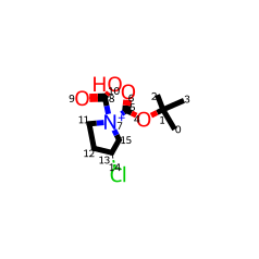 CC(C)(C)OC(=O)[N+]1(C(=O)O)CC[C@@H](Cl)C1